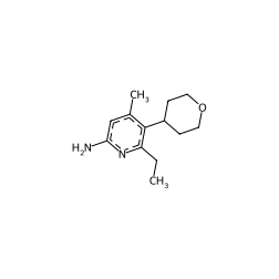 CCc1nc(N)cc(C)c1C1CCOCC1